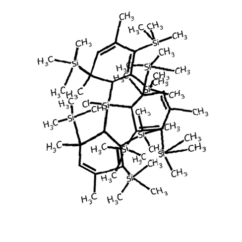 CC1=CC(C)([Si](C)(C)C)C([Si](Cl)(C2C([Si](C)(C)C)=C([Si](C)(C)C)C(C)=CC2(C)[Si](C)(C)C)C2C([Si](C)(C)C)=C([Si](C)(C)C)C(C)=CC2(C)[Si](C)(C)C)C([Si](C)(C)C)=C1[Si](C)(C)C